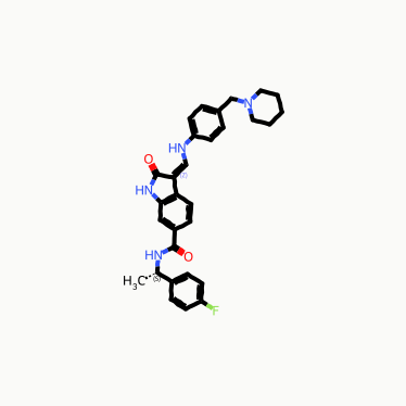 C[C@H](NC(=O)c1ccc2c(c1)NC(=O)/C2=C\Nc1ccc(CN2CCCCC2)cc1)c1ccc(F)cc1